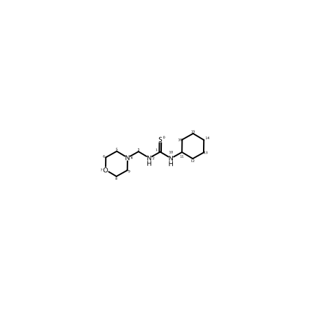 S=C(NCN1CCOCC1)NC1CCCCC1